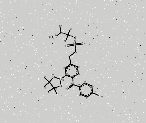 CN(C(=O)O)C(C)(C)CS(=O)(=O)CCc1ccc(C(=O)c2ccc(F)cc2)c(B2OC(C)(C)C(C)(C)O2)c1